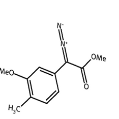 COC(=O)C(=[N+]=[N-])c1ccc(C)c(OC)c1